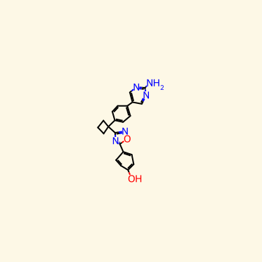 Nc1ncc(-c2ccc(C3(c4noc(-c5ccc(O)cc5)n4)CCC3)cc2)cn1